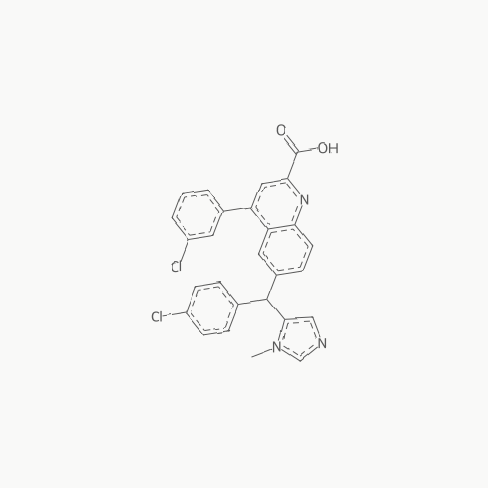 Cn1cncc1C(c1ccc(Cl)cc1)c1ccc2nc(C(=O)O)cc(-c3cccc(Cl)c3)c2c1